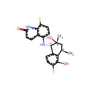 C[C@@H]1C[C@](O)(C(F)(F)F)[C@@H](Nc2ccc(F)c3[nH]c(=O)ccc23)c2ccc(F)c(O)c21